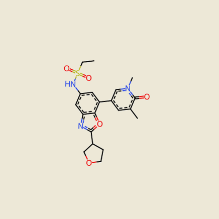 CCS(=O)(=O)Nc1cc(-c2cc(C)c(=O)n(C)c2)c2oc(C3CCOC3)nc2c1